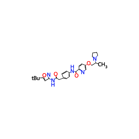 CC(COc1ccc(C(=O)Nc2ccc(CC(=O)Nc3cc(C(C)(C)C)on3)cc2)nc1)N1CCCC1